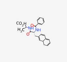 C[C@H](NC(=O)[C@@H](CC1=CC2CC=CC=C2C=C1)NC(=O)c1ccccc1)C(=O)O